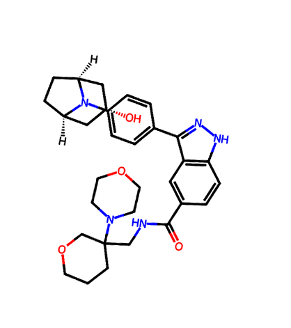 O=C(NCC1(N2CCOCC2)CCCOC1)c1ccc2[nH]nc(-c3ccc(N4[C@@H]5CC[C@H]4C[C@H](O)C5)cc3)c2c1